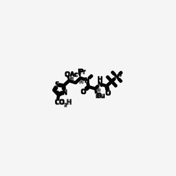 CCC(C)[C@H](NC(=O)C(C)(C)[N+](C)(C)C)C(=O)N(C)[C@H](C[C@@H](OC(C)=O)c1nc(C(=O)O)cs1)C(C)C